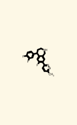 Cc1ccc(-c2cc3c(cc2F)C(c2ccc(F)c(F)c2)CCNC3)nn1